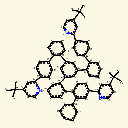 CC(C)(C)c1ccnc(-c2ccc(-c3ccccc3-c3cc(-c4ccccc4-c4ccc(-c5cc(C(C)(C)C)ccn5)cc4)cc(-c4ccccc4-c4ccc(-c5cc(C(C)(C)C)ccn5)cc4-c4ccccc4)c3)cc2)c1